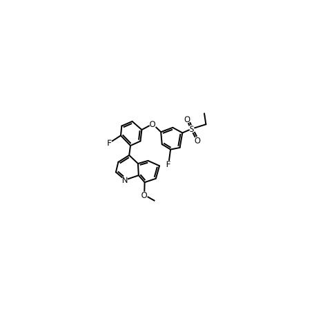 CCS(=O)(=O)c1cc(F)cc(Oc2ccc(F)c(-c3ccnc4c(OC)cccc34)c2)c1